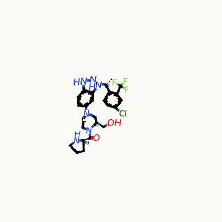 C[C@H](c1ccc(Cl)cc1C(F)(F)F)N1NNc2ccc(N3CCN(C(=O)[C@H]4CCCN4)[C@H](CO)C3)cc21